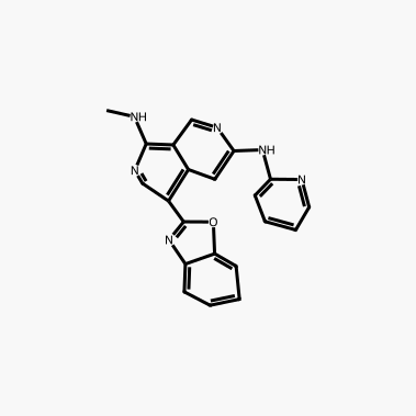 CNc1ncc(-c2nc3ccccc3o2)c2cc(Nc3ccccn3)ncc12